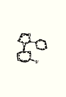 Brc1cccc(-n2[c]cnc2-c2ccccc2)c1